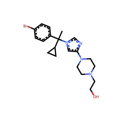 CC(c1ccc(Br)cc1)(C1CC1)n1cnc(N2CCN(CCO)CC2)c1